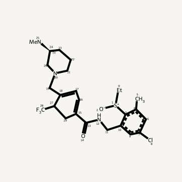 CC[S+]([O-])c1c(C)cc(Cl)cc1CNC(=O)C1=CC=C(CN2CCC[C@H](NC)C2)C(C(F)(F)F)C1